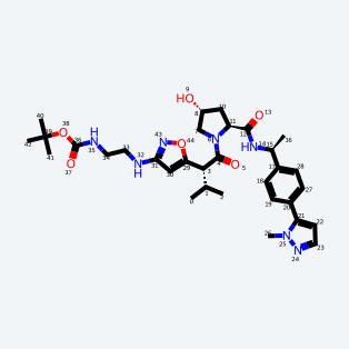 CC(C)[C@@H](C(=O)N1C[C@H](O)C[C@H]1C(=O)N[C@@H](C)c1ccc(-c2ccnn2C)cc1)c1cc(NCCNC(=O)OC(C)(C)C)no1